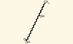 CCCC=CCC=CCC(O)CCCCCCCCCCCCCCCCC(=O)O